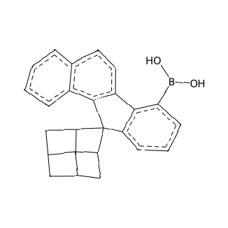 OB(O)c1cccc2c1-c1ccc3ccccc3c1C21C2CC3CC4CC1C342